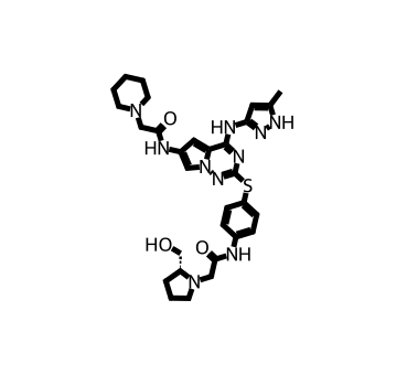 Cc1cc(Nc2nc(Sc3ccc(NC(=O)CN4CCC[C@@H]4CO)cc3)nn3cc(NC(=O)CN4CCCCC4)cc23)n[nH]1